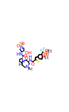 CCOP(=O)(OCC)C(F)(F)c1ccc2sc(C(=O)N[C@H]3CN(C(C)=O)CC[C@H]4CC[C@@H](C(=O)N[C@H]5CN(S(C)(=O)=O)C[C@@H]5O)N4C3=O)cc2c1